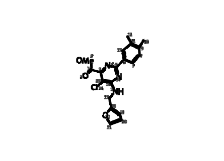 COC(=O)c1nc(-c2ccc(C)c(C)c2)nc(NCc2ccco2)c1Cl